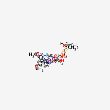 CCC(C)(C)C(=O)SCCO[PH](=O)OC[C@H]1O[C@@H](n2cc(F)c3c(NC(c4ccccc4)(c4ccc(OC)cc4)c4ccc(OC)cc4)ncnc32)[C@@](C)(O)C1O